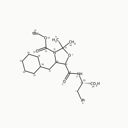 CC(C)C[C@H](NC(=O)C1OC(C)(C)N(C(=O)OC(C)(C)C)C1CC1CCCCC1)C(=O)O